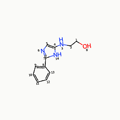 OCCNc1cnc(-c2ccccc2)[nH]1